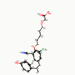 C[C@H](Cc1cc(Cl)c(OCCCCCOCC(=O)O)c(C#N)c1)c1ccc(O)cc1